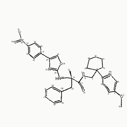 COc1ccc(C2(CNC(=O)[C@](C)(Cc3ccccc3)Nc3nc(-c4ccc([N+](=O)[O-])cc4)co3)CCCCC2)nc1